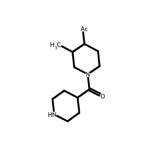 CC(=O)C1CCN(C(=O)C2CCNCC2)CC1C